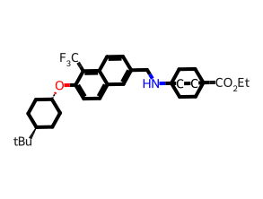 CCOC(=O)C12CCC(NCc3ccc4c(C(F)(F)F)c(O[C@H]5CC[C@H](C(C)(C)C)CC5)ccc4c3)(CC1)CC2